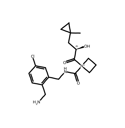 CC1(C[C@@H](O)C(=O)[N+]2(C(=O)NCc3cc(Cl)ccc3CN)CCC2)CC1